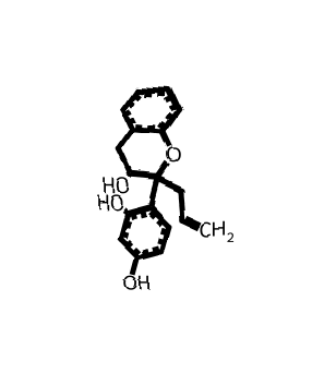 C=CCC1(c2ccc(O)cc2O)Oc2ccccc2CC1O